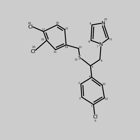 Clc1ccc(C(Cn2ccnc2)SCc2ccc(Cl)c(Cl)c2)cc1